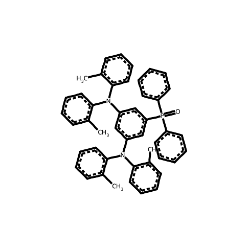 Cc1ccccc1N(c1cc(N(c2ccccc2C)c2ccccc2C)cc(P(=O)(c2ccccc2)c2ccccc2)c1)c1ccccc1C